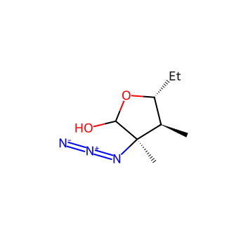 CC[C@H]1OC(O)[C@](C)(N=[N+]=[N-])[C@@H]1C